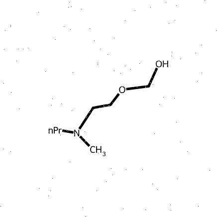 CCCN(C)CCOCO